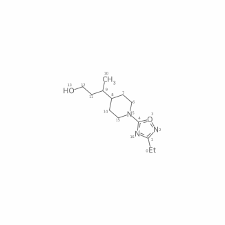 CCc1noc(N2CCC(C(C)CCO)CC2)n1